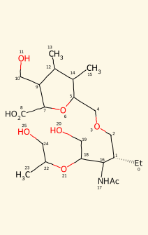 CC[C@@H](COCC1OC(C(=O)O)C(CO)C(C)C1C)C(NC(C)=O)C(CO)OC(C)CO